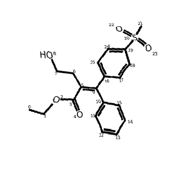 CCOC(=O)C(CCO)=C(c1ccccc1)c1ccc(S(C)(=O)=O)cc1